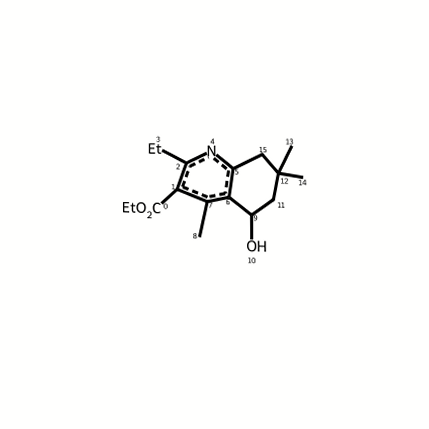 CCOC(=O)c1c(CC)nc2c(c1C)C(O)CC(C)(C)C2